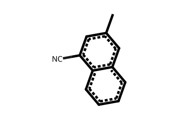 Cc1cc(C#N)c2ccccc2c1